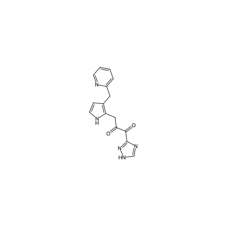 O=C(Cc1[nH]ccc1Cc1ccccn1)C(=O)c1nc[nH]n1